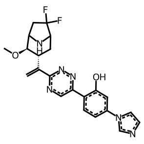 C=C(c1ncc(-c2ccc(-n3ccnc3)cc2O)nn1)[C@H]1CC2NC(CC2(F)F)[C@@H]1OC